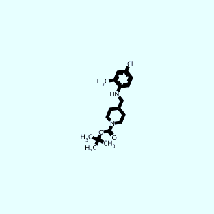 Cc1cc(Cl)ccc1NCC1CCN(C(=O)OC(C)(C)C)CC1